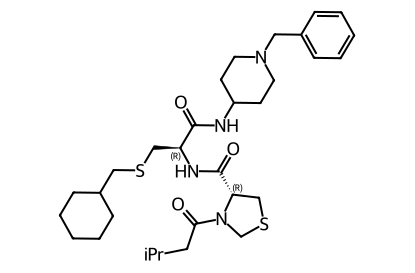 CC(C)CC(=O)N1CSC[C@H]1C(=O)N[C@@H](CSCC1CCCCC1)C(=O)NC1CCN(Cc2ccccc2)CC1